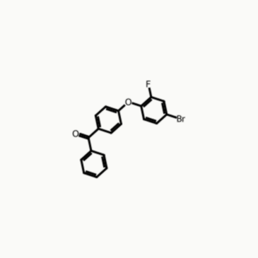 O=C(c1ccccc1)c1ccc(Oc2ccc(Br)cc2F)cc1